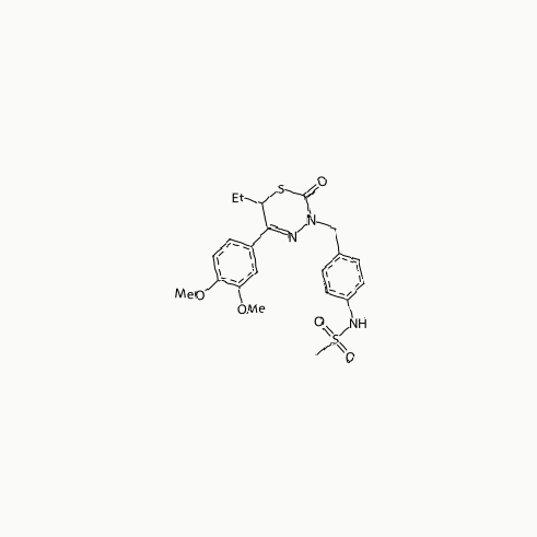 CCC1SC(=O)N(Cc2ccc(NS(C)(=O)=O)cc2)N=C1c1ccc(OC)c(OC)c1